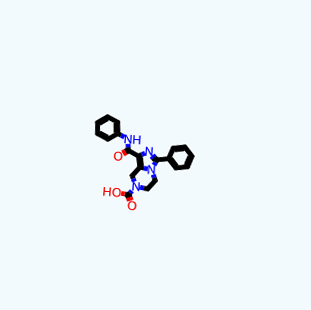 O=C(Nc1ccccc1)c1nc(-c2ccccc2)n2c1CN(C(=O)O)CC2